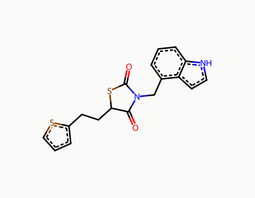 O=C1SC(CCc2cccs2)C(=O)N1Cc1cccc2[nH]ccc12